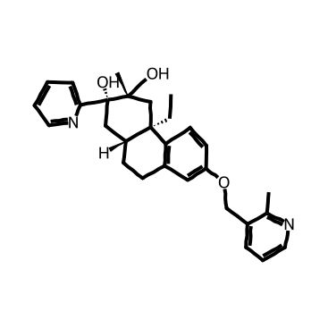 CC[C@@]12C[C@@](C)(O)[C@](O)(c3ccccn3)C[C@H]1CCc1cc(OCc3cccnc3C)ccc12